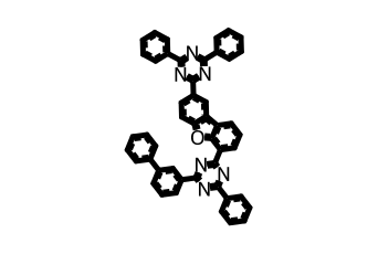 c1ccc(-c2cccc(-c3nc(-c4ccccc4)nc(-c4cccc5c4oc4ccc(-c6nc(-c7ccccc7)nc(-c7ccccc7)n6)cc45)n3)c2)cc1